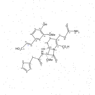 CO[C@@]1(NC(=O)Cc2cccs2)C(=O)N2C(C(=O)O)=C(COC(N)=O)CS[C@@H]21.COc1cc(/C=C/C(=O)O)ccc1O